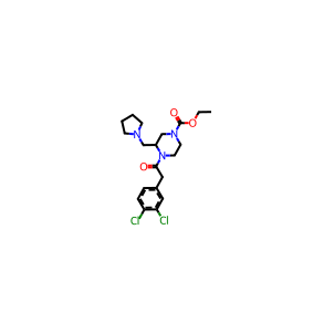 CCOC(=O)N1CCN(C(=O)Cc2ccc(Cl)c(Cl)c2)C(CN2CCCC2)C1